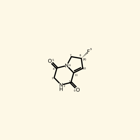 O=C1NCC(=O)N2C[C@H](F)C=C12